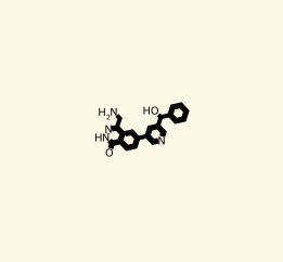 NCc1n[nH]c(=O)c2ccc(-c3cncc(C(O)c4ccccc4)c3)cc12